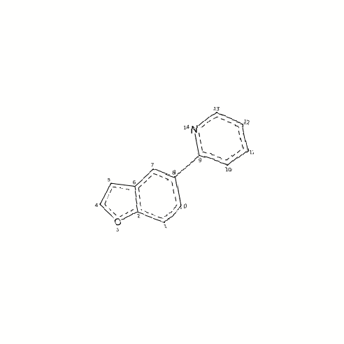 [c]1cc2occc2cc1-c1ccccn1